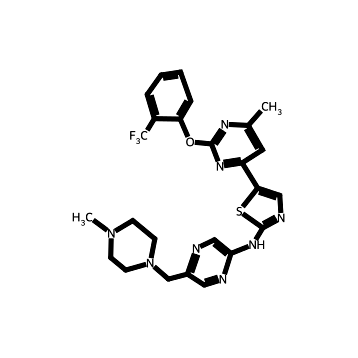 Cc1cc(-c2cnc(Nc3cnc(CN4CCN(C)CC4)cn3)s2)nc(Oc2ccccc2C(F)(F)F)n1